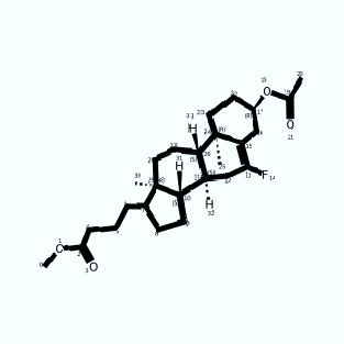 COC(=O)CCCC1CC[C@H]2[C@@H]3CC(F)=C4C[C@H](OC(C)=O)CC[C@]4(C)[C@H]3CC[C@]12C